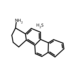 NC1CCCc2c1ccc1c2ccc2ccccc21.S